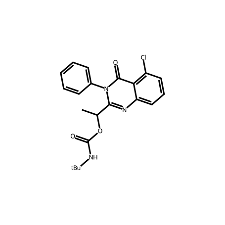 CC(OC(=O)NC(C)(C)C)c1nc2cccc(Cl)c2c(=O)n1-c1ccccc1